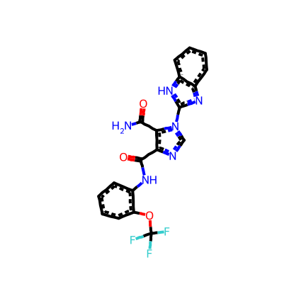 NC(=O)c1c(C(=O)Nc2ccccc2OC(F)(F)F)ncn1-c1nc2ccccc2[nH]1